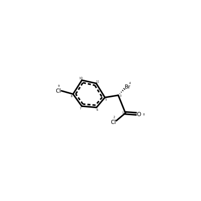 O=C(Cl)[C@@H](Br)c1ccc(Cl)cc1